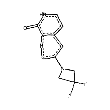 O=c1[nH]ccc2cc(N3CC(F)(F)C3)cnc12